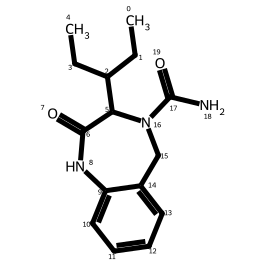 CCC(CC)C1C(=O)Nc2ccccc2CN1C(N)=O